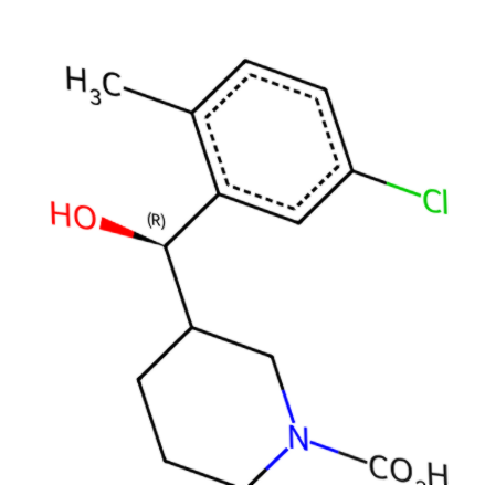 Cc1ccc(Cl)cc1[C@H](O)C1CCCN(C(=O)O)C1